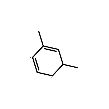 CC1=CC(C)[C]C=[C]1